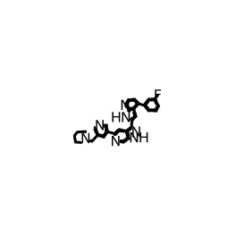 Fc1cccc(-c2ccnc3[nH]c(-c4n[nH]c5cnc(-c6cncc(CN7CCCCC7)c6)cc45)cc23)c1